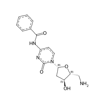 NC[C@H]1O[C@@H](n2ccc(NC(=O)c3ccccc3)nc2=O)C[C@@H]1O